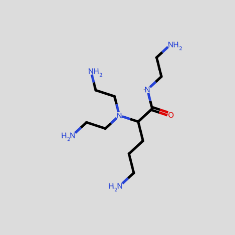 NCCCC(C(=O)[N]CCN)N(CCN)CCN